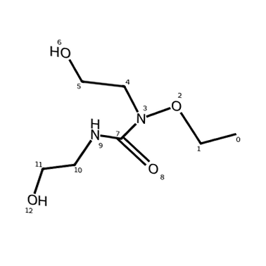 CCON(CCO)C(=O)NCCO